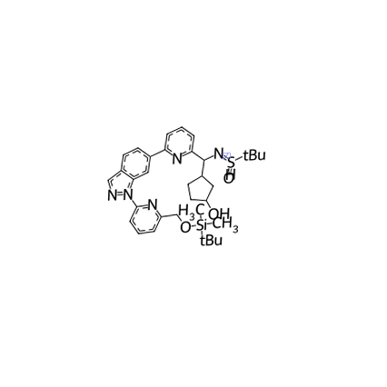 CC(C)(C)/[SH](=O)=N/C(c1cccc(-c2ccc3cnn(-c4cccc(CO[Si](C)(C)C(C)(C)C)n4)c3c2)n1)C1CCC(O)C1